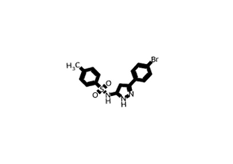 Cc1ccc(S(=O)(=O)NC2CC(c3ccc(Br)cc3)=NN2)cc1